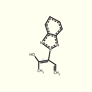 C=C/C(=C(\C)O)n1nc2ccccc2n1